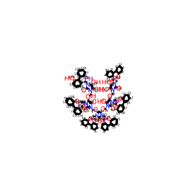 O=c1n(COc2c(O)n(COc3c(OCn4c(O)c(OCn5c(O)c(O)n(CP6(=O)Oc7ccccc7-c7ccccc76)c5=O)n(CP5(=O)Oc6ccccc6-c6ccccc65)c4=O)n(CP4(=O)Oc5ccccc5-c5ccccc54)c(=O)n3CP3(=O)Oc4ccccc4-c4ccccc43)c(=O)n2CP2(=O)Oc3ccccc3-c3ccccc32)c(O)c(O)n1CPc1ccccc1-c1ccccc1O